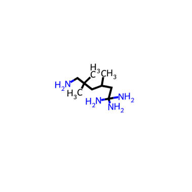 CC(CC(N)(N)N)CC(C)(C)CN